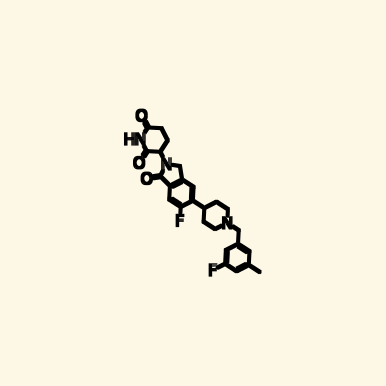 Cc1cc(F)cc(CN2CCC(c3cc4c(cc3F)C(=O)N(C3CCC(=O)NC3=O)C4)CC2)c1